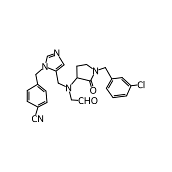 N#Cc1ccc(Cn2cncc2CN(CC=O)C2CCN(Cc3cccc(Cl)c3)C2=O)cc1